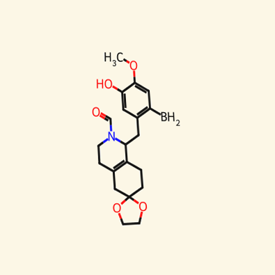 Bc1cc(OC)c(O)cc1CC1C2=C(CCN1C=O)CC1(CC2)OCCO1